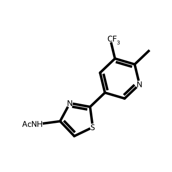 CC(=O)Nc1csc(-c2cnc(C)c(C(F)(F)F)c2)n1